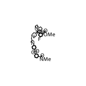 CNC(=O)c1cccc(S(=O)(=O)c2ccc(N3CC(CN4CCC([C@@](CN5CCC5)(c5cccc(F)c5)[C@H]5CCC[C@@H]5NC(=O)OC)CC4)C3)cc2)c1